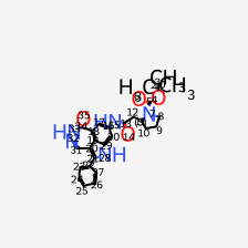 CC(C)(C)OC(=O)N1CCC[C@H]1CC(=O)Nc1cc2c3c(c(-c4ccccc4)[nH]c3c1)C=NNC2=O